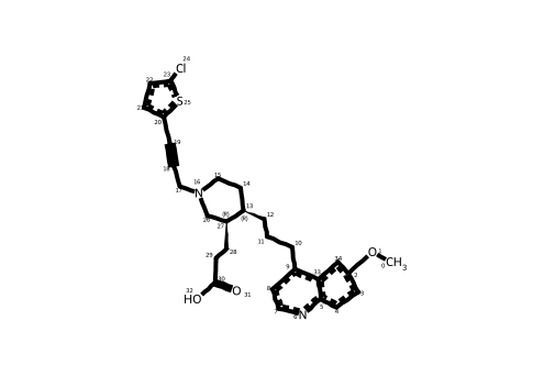 COc1ccc2nccc(CCC[C@@H]3CCN(CC#Cc4ccc(Cl)s4)C[C@@H]3CCC(=O)O)c2c1